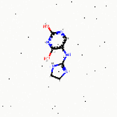 Oc1ncc(NC2=NCCN2)c(O)n1